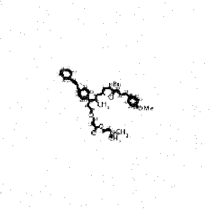 CCCCC(CCCC(C)C(CCOCCC(=O)OCCN(C)C)c1ccc(C#Cc2ccccc2)cc1)C(=O)CCCc1ccc(OC)cc1